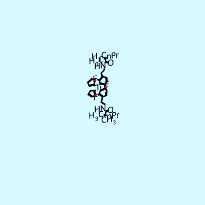 CCCC(C)(C)C(=O)NCCc1ccc(F)[c]([Ti]([C]2=CC=CC2)([C]2=CC=CC2)[c]2c(F)ccc(CCNC(=O)C(C)(C)CCC)c2F)c1F